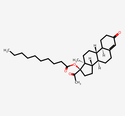 CCCCCCCCCC(=O)O[C@]1(C(C)=O)CC[C@H]2[C@@H]3CCC4=CC(=O)CC[C@@H]4[C@H]3CC[C@@]21C